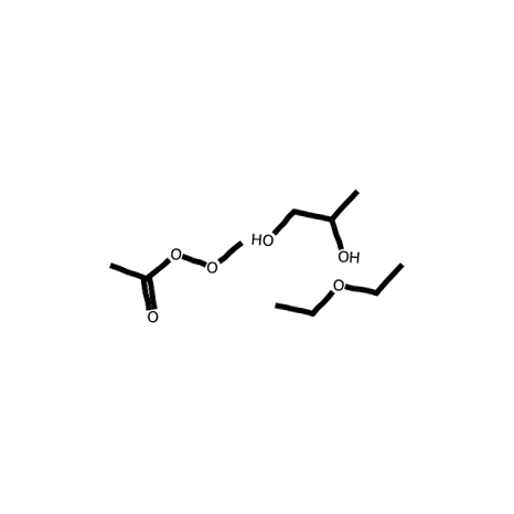 CC(O)CO.CCOCC.COOC(C)=O